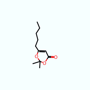 CCCCCC1=CC(=O)OC(C)(C)O1